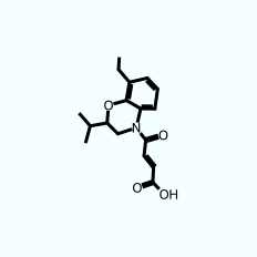 CCc1cccc2c1OC(C(C)C)CN2C(=O)C=CC(=O)O